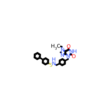 CCn1cnc2c1c(=O)[nH]c(=O)n2Cc1ccc(CNSc2ccc(-c3ccccc3)cc2)cc1